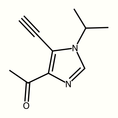 C#Cc1c(C(C)=O)ncn1C(C)C